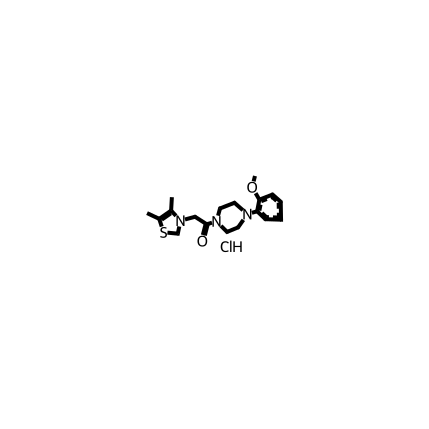 COc1ccccc1N1CCN(C(=O)CN2CSC(C)=C2C)CC1.Cl